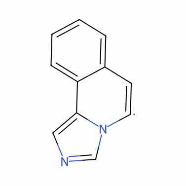 [c]1cc2ccccc2c2cncn12